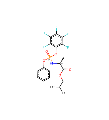 CCC(CC)COC(=O)[C@H](C)N[P@@](=O)(Oc1ccccc1)Oc1c(F)c(F)c(F)c(F)c1F